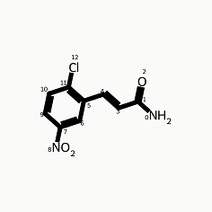 NC(=O)C=Cc1cc([N+](=O)[O-])ccc1Cl